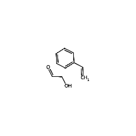 C=Cc1ccccc1.O=CCO